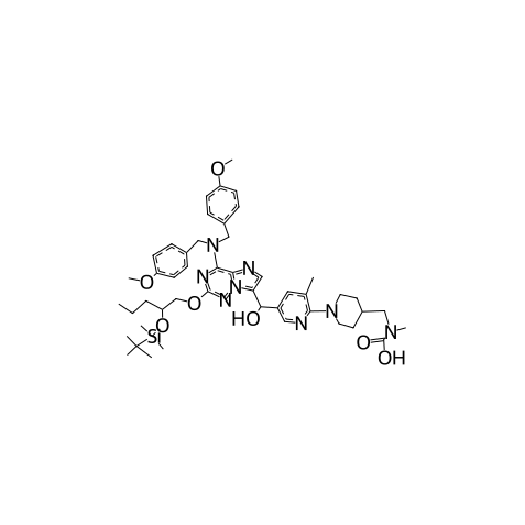 CCCC(COc1nc(N(Cc2ccc(OC)cc2)Cc2ccc(OC)cc2)c2ncc(C(O)c3cnc(N4CCC(CN(C)C(=O)O)CC4)c(C)c3)n2n1)O[Si](C)(C)C(C)(C)C